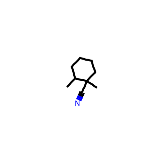 CC1CCCCC1(C)C#N